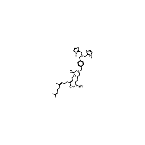 CCCN(CCC)CCCCN(CC(=O)OCC=C(C)CCC=C(C)CCC=C(C)C)Cc1ccc(CN(Cc2ncc[nH]2)Cc2nccn2C)cc1